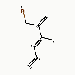 C=C/C=C(\C)C(=C)CBr